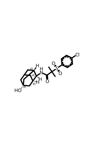 CC(C)(C(=O)N[C@H]1[C@@H]2CC3C[C@H]1C[C@](O)(C3)C2)S(=O)(=O)c1ccc(Cl)cc1